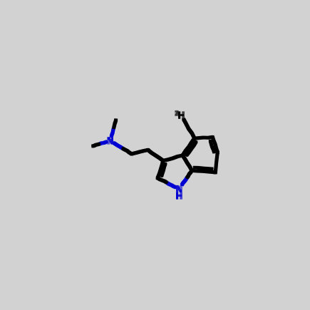 [2H]c1cccc2[nH]cc(CCN(C)C)c12